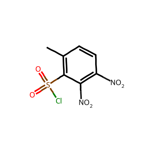 Cc1ccc([N+](=O)[O-])c([N+](=O)[O-])c1S(=O)(=O)Cl